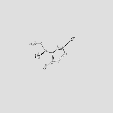 NC[C@H](O)c1cc(Cl)ccc1Cl